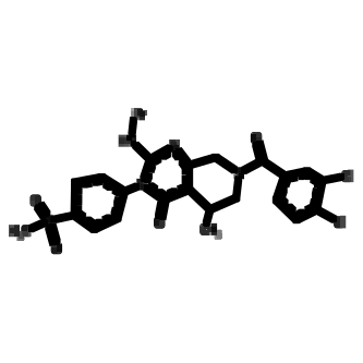 CC(C)Nc1nc2c(c(=O)n1-c1ccc(S(C)(=O)=O)cc1)C(C)CN(C(=O)c1ccc(Cl)c(Cl)c1)C2